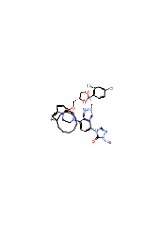 CCC(C)n1ncn(-c2ccc(N3CCN(C4=C\[C@H]5CCCCCCC\C(=C(OC[C@@H]6CO[C@@](Cn7cncn7)(c7ccc(Cl)cc7Cl)O6)/C=C\4)C5)CC3)cc2)c1=O